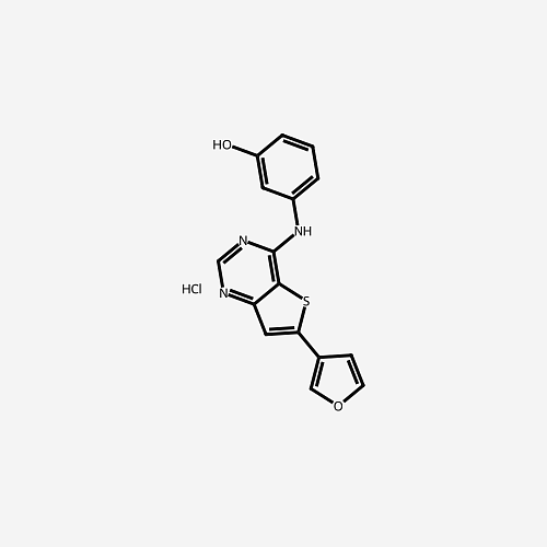 Cl.Oc1cccc(Nc2ncnc3cc(-c4ccoc4)sc23)c1